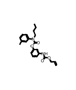 C=CCOC(=O)Nc1cccc(OC(=O)N(CCCC)c2cccc(C)c2)c1